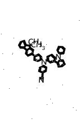 CC1(C)c2ccccc2-c2ccc(-c3ccc(N(c4ccc(C#N)cc4)c4ccc5c(c4)c4ccccc4n5-c4ccccc4)cc3)cc21